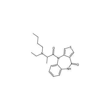 CCCCN(CC)C(C)C(=O)N1c2ccccc2NC(=O)c2cscc21